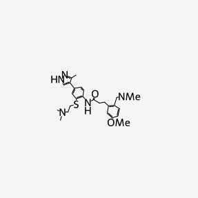 CNCc1ccc(OC)cc1CCC(=O)Nc1ccc(-c2c[nH]nc2C)cc1SCCN(C)C